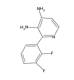 Nc1ccnc(-c2cccc(F)c2F)c1N